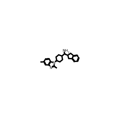 Cc1ccc2c(c1)nc(C)n2C1CCC(C(N)C2Cc3ccccc3C2)CC1